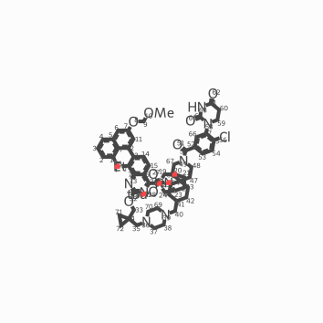 CCc1cccc2cc(OCOC)cc(-c3ccc4c(N5CC6CCC(C5)N6C(=O)OC(C)(C)C)nc(OCC5(CN6CCN(CC7CCC8(CC7)CCN(C(=O)c7ccc(Cl)c(N9CCC(=O)NC9=O)c7)CC8)CC6)CC5)nc4c3F)c12